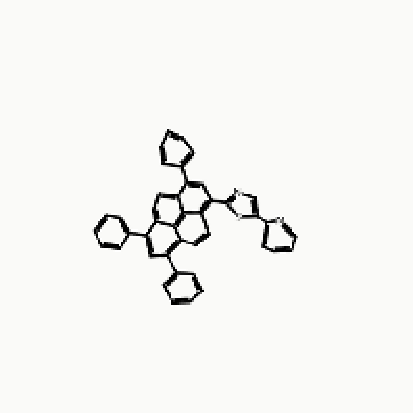 c1ccc(-c2cc(-c3ccccc3)c3ccc4c(-c5ncc(-c6ccccn6)s5)cc(-c5ccccc5)c5ccc2c3c54)cc1